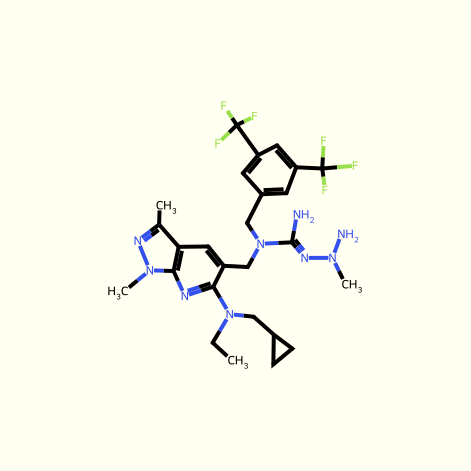 CCN(CC1CC1)c1nc2c(cc1CN(Cc1cc(C(F)(F)F)cc(C(F)(F)F)c1)/C(N)=N/N(C)N)c(C)nn2C